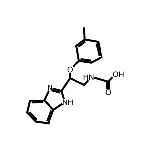 Cc1cccc(OC(CNC(=O)O)c2nc3ccccc3[nH]2)c1